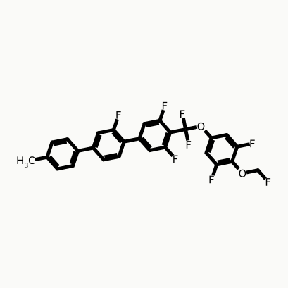 Cc1ccc(-c2ccc(-c3cc(F)c(C(F)(F)Oc4cc(F)c(OCF)c(F)c4)c(F)c3)c(F)c2)cc1